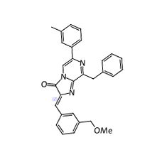 COCc1cccc(/C=C2\N=C3C(Cc4ccccc4)=NC(c4cccc(C)c4)=CN3C2=O)c1